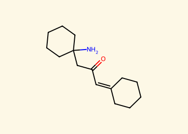 NC1(CC(=O)C=C2CCCCC2)CCCCC1